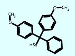 COc1ccc([C]([SnH])(c2ccccc2)c2ccc(OC)cc2)cc1